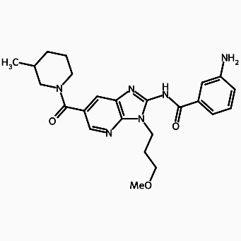 COCCCn1c(NC(=O)c2cccc(N)c2)nc2cc(C(=O)N3CCCC(C)C3)cnc21